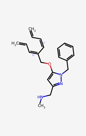 C=C/C=C\C(=C/C=C)COc1cc(CNC)nn1Cc1ccccc1